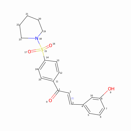 O=C(/C=C/c1cccc(O)c1)c1ccc(S(=O)(=O)N2CCCCC2)cc1